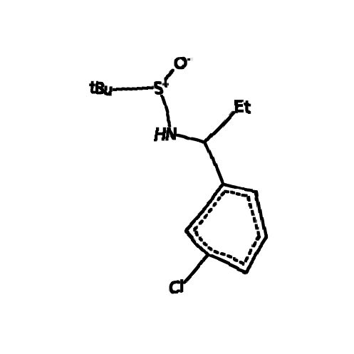 CCC(N[S+]([O-])C(C)(C)C)c1cccc(Cl)c1